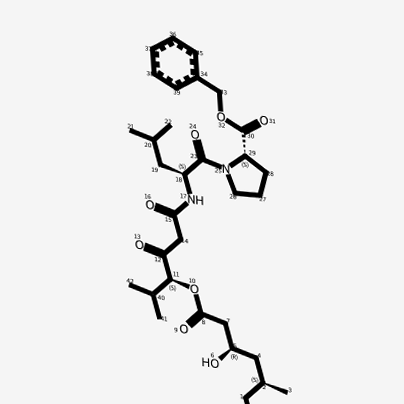 CC[C@H](C)C[C@@H](O)CC(=O)O[C@H](C(=O)CC(=O)N[C@@H](CC(C)C)C(=O)N1CCC[C@H]1C(=O)OCc1ccccc1)C(C)C